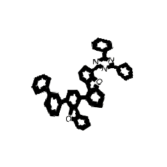 c1ccc(-c2cccc(-c3ccc(-c4cccc5oc6c(-c7nc(-c8ccccc8)nc(-c8ccccc8)n7)cccc6c45)c4c3oc3ccccc34)c2)cc1